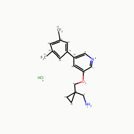 Cl.NCC1(COc2cncc(-c3cc(C(F)(F)F)cc(C(F)(F)F)c3)c2)CC1